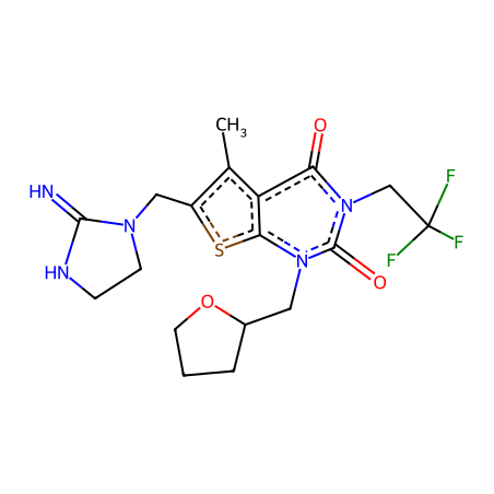 Cc1c(CN2CCNC2=N)sc2c1c(=O)n(CC(F)(F)F)c(=O)n2CC1CCCO1